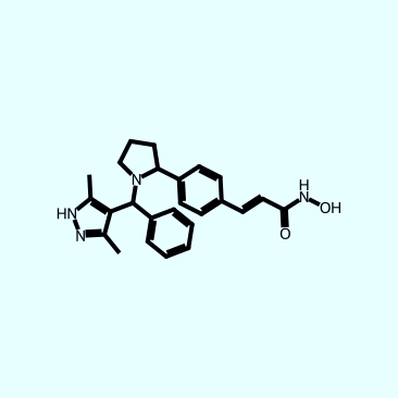 Cc1n[nH]c(C)c1C(c1ccccc1)N1CCCC1c1ccc(C=CC(=O)NO)cc1